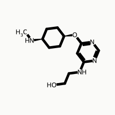 CN[C@H]1CC[C@@H](Oc2cc(NCCO)ncn2)CC1